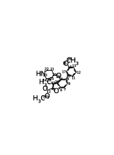 COC(=O)c1oc2ccc(-c3cccc(OC)c3)c(OC3CCNCC3)c2c1C